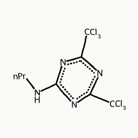 CCCNc1nc(C(Cl)(Cl)Cl)nc(C(Cl)(Cl)Cl)n1